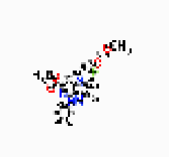 COCCOCC1(F)CCN(c2cc(C(=O)OC)nc3c2c(C2CCC2)nn3-c2ccccc2)CC1